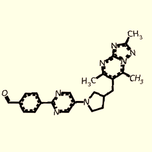 Cc1nc2nc(C)c(CC3CCN(c4cnc(-c5ccc(C=O)cc5)nc4)C3)c(C)n2n1